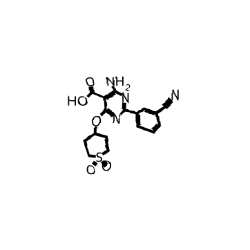 N#Cc1cccc(-c2nc(N)c(C(=O)O)c(OC3CCS(=O)(=O)CC3)n2)c1